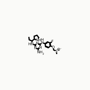 CCC(Nc1nc(N)nc(Nc2ccc(OC[S+](C)[O-])c(F)c2)n1)C1CCCN1